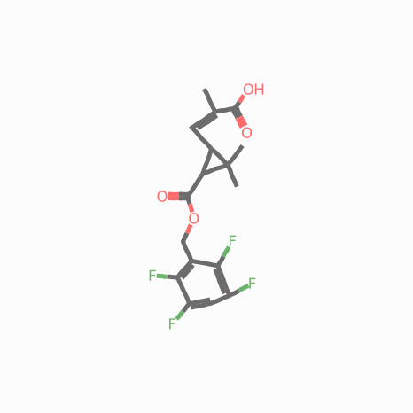 CC(=CC1C(C(=O)OCc2c(F)c(F)cc(F)c2F)C1(C)C)C(=O)O